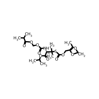 C=C1OC(C)=C(COC(=O)SC(C)(C)[C@@H](NC(=O)OCOC(=O)C(C)C)C(=O)OC(C)C)O1